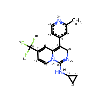 Cc1cc(C2=C3C=C(C(F)(F)F)C=CN3C(NC3CC3)=NC2)ccn1